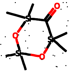 C[Si]1(C)O[Si](C)(C)C(=O)[Si](C)(C)O1